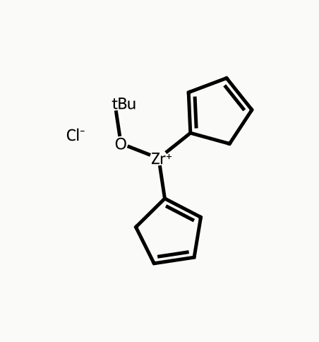 CC(C)(C)[O][Zr+]([C]1=CC=CC1)[C]1=CC=CC1.[Cl-]